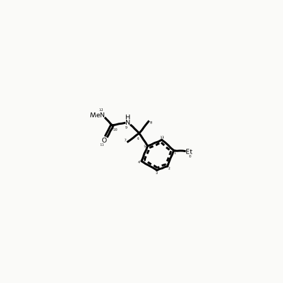 CCc1cccc(C(C)(C)NC(=O)NC)c1